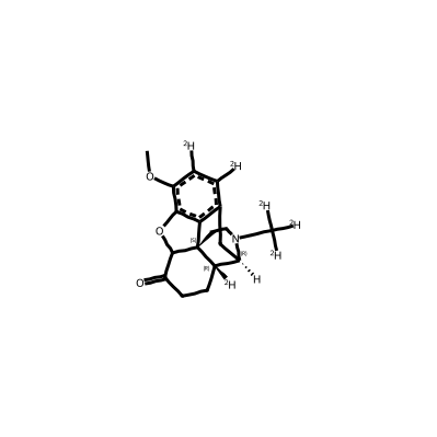 [2H]c1c([2H])c(OC)c2c3c1C[C@H]1N(C([2H])([2H])[2H])CC[C@@]34C(O2)C(=O)CC[C@@]14[2H]